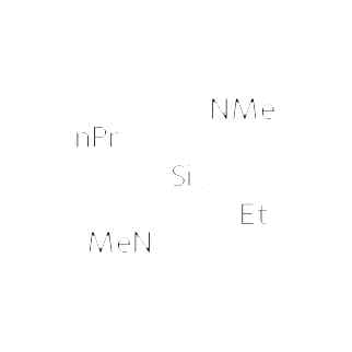 CCC[Si](CC)(NC)NC